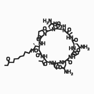 C/C=C1/NC(=O)[C@H](CC(N)=O)NC(=O)/C(=C\C)NC(=O)[C@H](C(C)C)NC(=O)[C@H](O)[C@@H]([C@@H](C)CCCCCCCCCC(=O)CC)NC(=O)[C@@H]2CCCN2C(=O)[C@H](CC(N)=O)N(C)C(=O)[C@H]([C@@H](C)O)NC(=O)[C@@H](C)NC(=O)[C@H](CC(N)=O)NC1=O